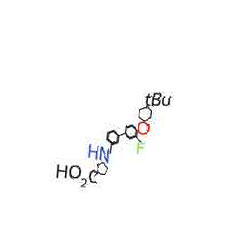 CC(C)(C)[C@H]1CC[C@H](Oc2ccc(-c3cccc(CNC4CCC(C(=O)O)C4)c3)cc2CF)CC1